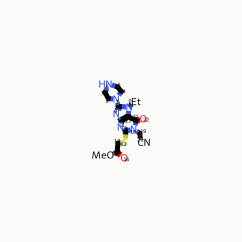 CCn1c(N2CCNCC2)nc2nc(SCC(=O)OC)n(CC#N)c(=O)c21